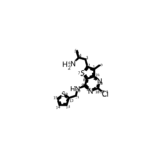 Cc1c(CC(C)N)sc2c(NCc3cccs3)nc(Cl)nc12